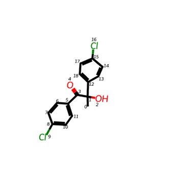 CC(O)(C(=O)c1ccc(Cl)cc1)c1ccc(Cl)cc1